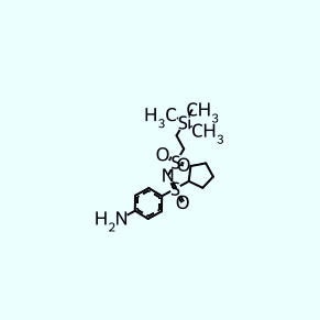 C[Si](C)(C)CCS(=O)(=O)N=S(=O)(c1ccc(N)cc1)C1CCCC1